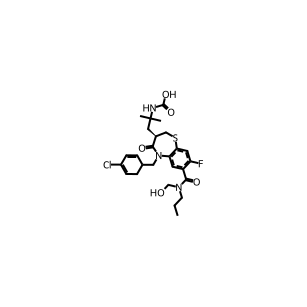 CCCN(CO)C(=O)c1cc2c(cc1F)SC[C@H](CC(C)(C)NC(=O)O)C(=O)N2CC1C=CC(Cl)=CC1